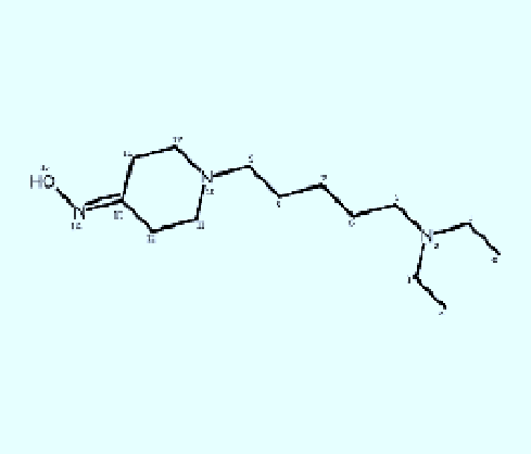 CCN(CC)CCCCCN1CCC(=NO)CC1